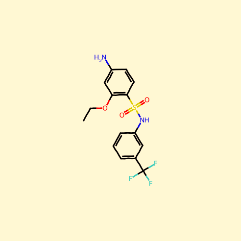 CCOc1cc(N)ccc1S(=O)(=O)Nc1cccc(C(F)(F)F)c1